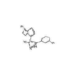 CC(C)C1=CC(c2nnc(O)n2-c2cccc3c2ccn3C(C)C)CCC1